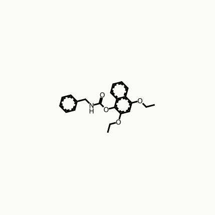 CCOc1cc(OCC)c2ccccc2c1OC(=O)NCc1ccccc1